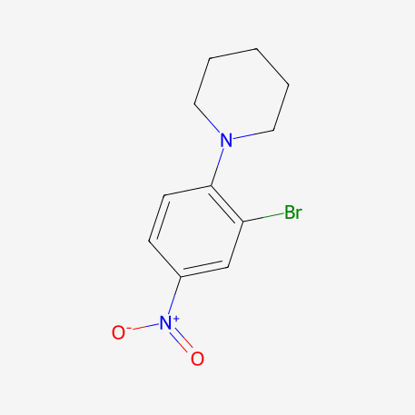 O=[N+]([O-])c1ccc(N2CCCCC2)c(Br)c1